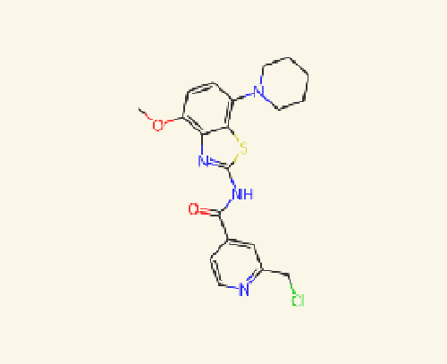 COc1ccc(N2CCCCC2)c2sc(NC(=O)c3ccnc(CCl)c3)nc12